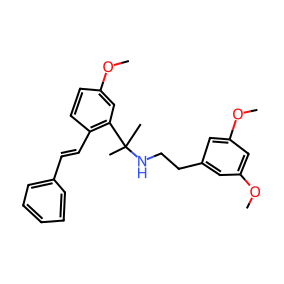 COc1cc(CCNC(C)(C)c2cc(OC)ccc2C=Cc2ccccc2)cc(OC)c1